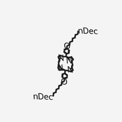 CCCCCCCCCCCCCCCCCCOc1ccc(C2=C3C=CC(=N3)C=C3C=CC(=N3)C(c3ccc(OCCCCCCCCCCCCCCCCCC)cc3)=C3C=CC(=N3)C=C3C=CC2=N3)cc1